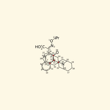 CC(C)O/N=C(\C(=O)O)c1nc2ccccc2n(C2CC3CCCC(C2)N3C2CC3CCCCC(C3)C2)c1=O